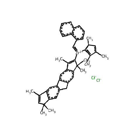 CC1=CC(C)[C]([Zr+2](=[CH]c2cccc3ccccc23)[C]2=C(C)c3cc4c(cc3C2(C)C)Cc2cc3c(cc2-4)C(C)=CC3(C)C)=C1C.[Cl-].[Cl-]